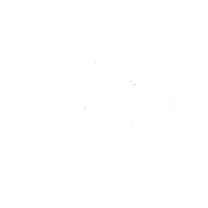 CCC(S)N(C(=O)/C=C/c1ccc(C)cc1)c1ccccc1